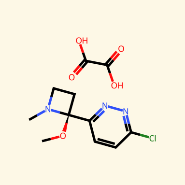 CO[C@]1(c2ccc(Cl)nn2)CCN1C.O=C(O)C(=O)O